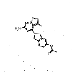 CC(=O)Oc1ccc2c(c1)CC(c1nc(N)nc3scc(C)c13)C2